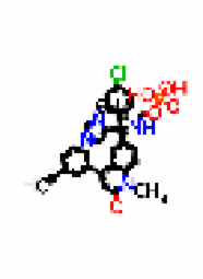 C#Cc1cccc(-c2cc(=O)n(C)c3ccc([C@](NCOP(=O)(O)O)(c4ccc(Cl)cc4)c4cncn4C)cc23)c1